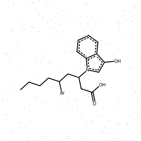 CCCCC(Br)CC(CC(=O)O)n1cc(O)c2ccccc21